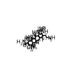 CNCCc1c(F)c2c(c(O)c1NS(C)(=O)=O)C(=O)C1=C(O)[C@]3(O)C(=O)C(C(N)=O)=C(O)[C@@H](N(C)C)[C@@H]3C[C@@H]1C2